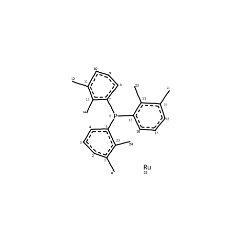 Cc1cccc(P(c2cccc(C)c2C)c2cccc(C)c2C)c1C.[Ru]